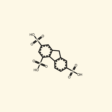 O=S(=O)(O)c1ccc2c(c1)Cc1cc(S(=O)(=O)O)cc(S(=O)(=O)O)c1-2